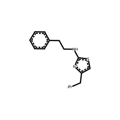 CC(C)Cc1csc(NCCc2ccccc2)n1